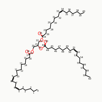 CCCCC/C=C\C/C=C\CCCCCCCC(=O)OCC(COC(=O)CCCCCCC/C=C\CCCCCC)OC(=O)CCCCCCC/C=C\CCCCCCCC